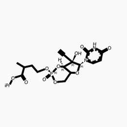 C#C[C@@]1(O)[C@@H]2O[P@](=O)(OCCC(C)C(=O)OC(C)C)OCC2O[C@H]1n1ccc(=O)[nH]c1=O